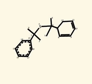 CC(C)(SC(C)(C)C1C=CC=CC1)c1ccccc1